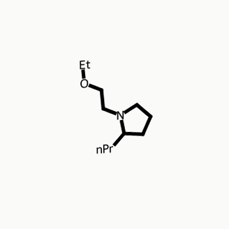 CCCC1CCCN1CCOCC